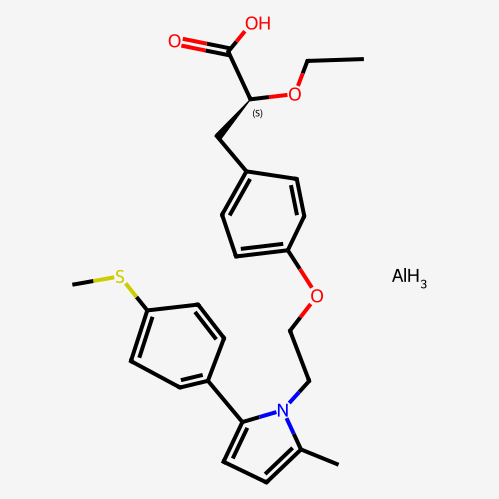 CCO[C@@H](Cc1ccc(OCCn2c(C)ccc2-c2ccc(SC)cc2)cc1)C(=O)O.[AlH3]